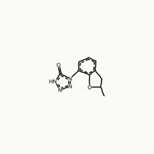 CC1Cc2cccc(-n3nn[nH]c3=O)c2O1